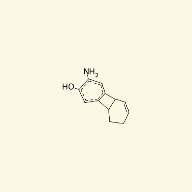 Nc1cc2c(cc1O)C1CCC=CC21